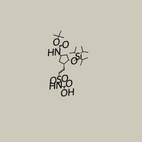 CC(C)[Si](O[C@H]1C[C@H](NC(=O)OC(C)(C)C)C[C@@H]1C=CS(=O)(=O)NC(=O)O)(C(C)C)C(C)C